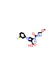 COCCNC(=O)Nc1cn(-c2cccc(F)c2)cc1C(=O)O